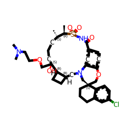 C[C@@H]1[C@@H](C)CCC[C@@](O)(COCCN(C)C)[C@@H]2CC[C@H]2CN2C[C@@]3(CCCc4cc(Cl)ccc43)COc3ccc(cc32)C(=O)NS1(=O)=O